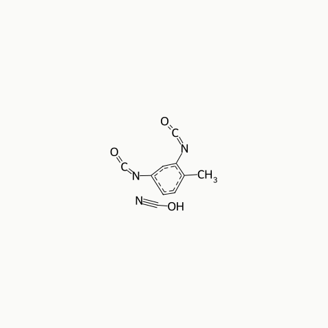 Cc1ccc(N=C=O)cc1N=C=O.N#CO